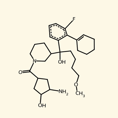 COCCCCC(O)(c1cccc(F)c1C1=CCCCC1)C1CCCN(C(=O)C2CC(N)C(O)C2)C1